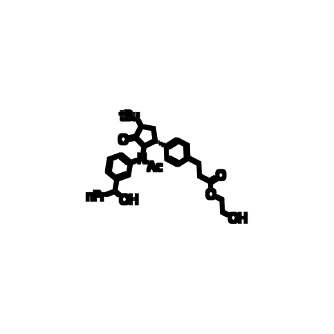 CCCC(O)c1cccc(N(C(C)=O)C2C(=O)C(C(C)(C)C)C[C@@H]2c2ccc(CCC(=O)OCCO)cc2)c1